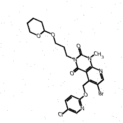 Cn1c(=O)n(CCCOC2CCCCO2)c(=O)c2c(COc3ccc(Cl)cn3)c(Br)cnc21